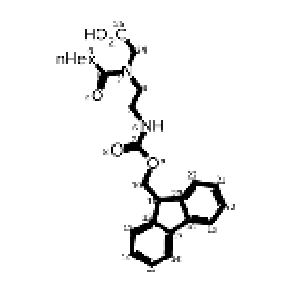 CCCCCCC(=O)N(CCNC(=O)OCC1c2ccccc2-c2ccccc21)CC(=O)O